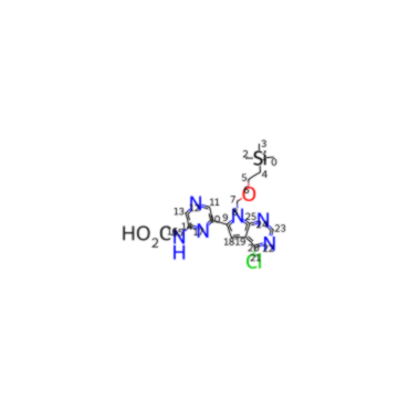 C[Si](C)(C)CCOCn1c(-c2cncc(NC(=O)O)n2)cc2c(Cl)ncnc21